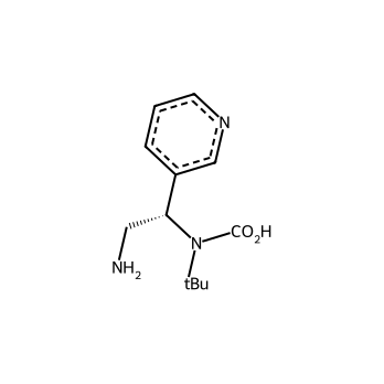 CC(C)(C)N(C(=O)O)[C@H](CN)c1cccnc1